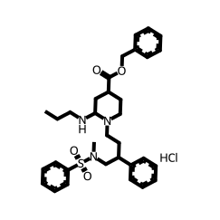 CCCNC1CC(C(=O)OCc2ccccc2)CCN1CCC(CN(C)S(=O)(=O)c1ccccc1)c1ccccc1.Cl